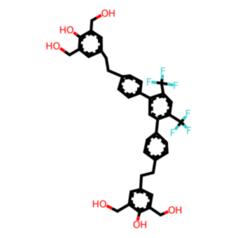 OCc1cc(CCc2ccc(-c3cc(-c4ccc(CCc5cc(CO)c(O)c(CO)c5)cc4)c(C(F)(F)F)cc3C(F)(F)F)cc2)cc(CO)c1O